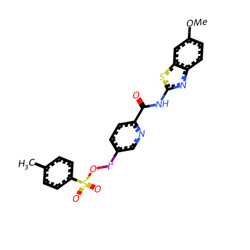 COc1ccc2nc(NC(=O)c3ccc([I+]OS(=O)(=O)c4ccc(C)cc4)cn3)sc2c1